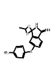 CC1OC2(NC(=N)c3ccc(Sc4ccc(C(C)(C)C)cc4)cc32)O1